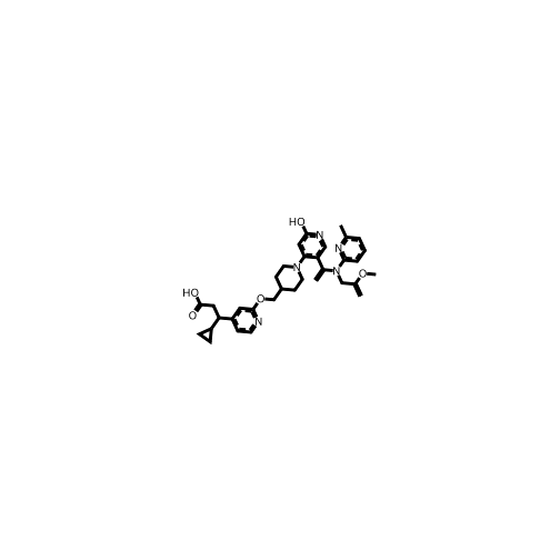 C=C(CN(C(=C)c1cnc(O)cc1N1CCC(COc2cc(C(CC(=O)O)C3CC3)ccn2)CC1)c1cccc(C)n1)OC